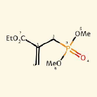 C=C(CP(=O)(OC)OC)C(=O)OCC